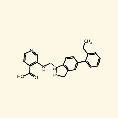 CCc1ccccc1-c1ccc2c(c1)CN[C@@H]2CNc1cnccc1C(=O)O